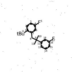 CC(C)(C)c1ccc(F)cc1CC(C)(C)c1cccc(F)c1